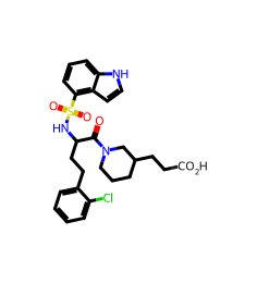 O=C(O)CCC1CCCN(C(=O)C(CCc2ccccc2Cl)NS(=O)(=O)c2cccc3[nH]ccc23)C1